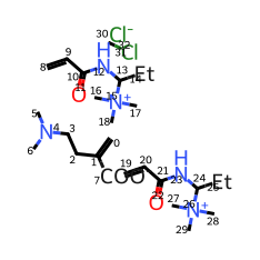 C=C(CCN(C)C)C(=O)[O-].C=CC(=O)NC(CC)[N+](C)(C)C.C=CC(=O)NC(CC)[N+](C)(C)C.CCl.[Cl-]